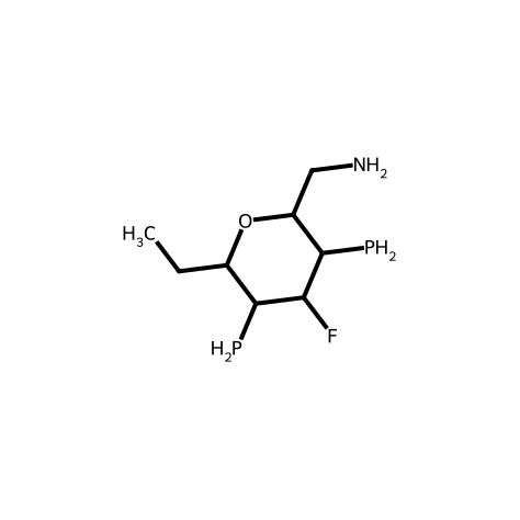 CCC1OC(CN)C(P)C(F)C1P